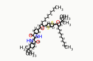 CCCCCCCCCCc1cc(-c2ccc3c(c2)N/C(=C2/Nc4cc(C(C)(CC)CC)ccc4C2=O)C3=O)oc1-c1cc2sc(-c3oc(C(C)(CC)CC)cc3CCCCCCCCCC)cc2s1